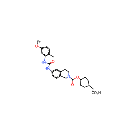 CCOc1ccc(C)c(NC(=O)Nc2ccc3c(c2)CCN(C(=O)OC2CCC(CC(=O)O)CC2)C3)c1